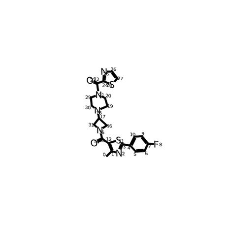 Cc1nc(-c2ccc(F)cc2)sc1C(=O)N1CC(N2CCN(C(=O)c3nccs3)CC2)C1